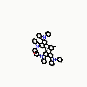 Cc1cc2c3c(c1)-c1cc4c(c5ccccc5n4-c4ccccc4)c4c1c(cc1c4c4ccccc4n1-c1ccccc1)B3c1cc3c(c4ccccc4n3-c3ccccc3)c3c1c-2cc1c3c2ccccc2n1-c1ccccc1